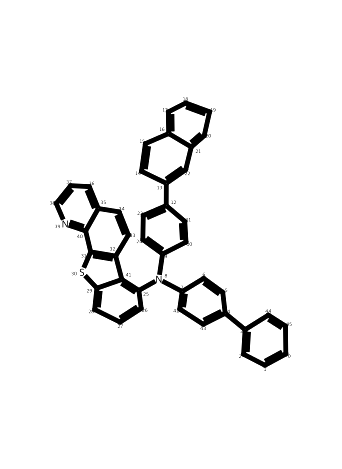 c1ccc(-c2ccc(N(c3ccc(-c4ccc5ccccc5c4)cc3)c3cccc4sc5c(ccc6cccnc65)c34)cc2)cc1